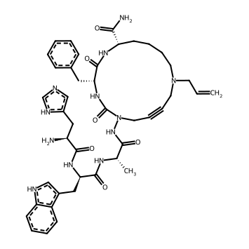 C=CCN1CC#CCN(NC(=O)[C@H](C)NC(=O)[C@@H](Cc2c[nH]c3ccccc23)NC(=O)[C@@H](N)Cc2cnc[nH]2)C(=O)N[C@H](Cc2ccccc2)C(=O)N[C@H](C(N)=O)CCCC1